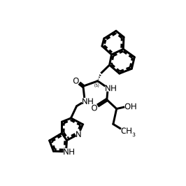 CCC(O)C(=O)N[C@@H](Cc1cccc2ccccc12)C(=O)NCc1cnc2[nH]ccc2c1